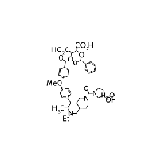 CCN(CC1CCN(C(=O)N2CC[C@H](O)C2)CC1)C(C)Cc1ccc(OC)cc1.O.O=C(O[C@@H](C(=O)O)[C@@H](OC(=O)c1ccccc1)C(=O)O)c1ccccc1